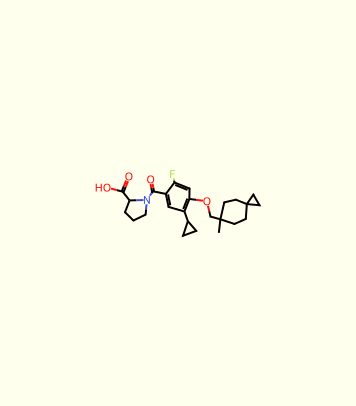 CC1(COc2cc(F)c(C(=O)N3CCCC3C(=O)O)cc2C2CC2)CCC2(CC1)CC2